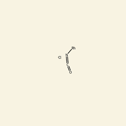 O=C=[N][Rh].[Cl]